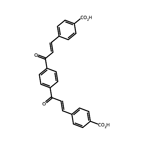 O=C(O)c1ccc(C=CC(=O)c2ccc(C(=O)C=Cc3ccc(C(=O)O)cc3)cc2)cc1